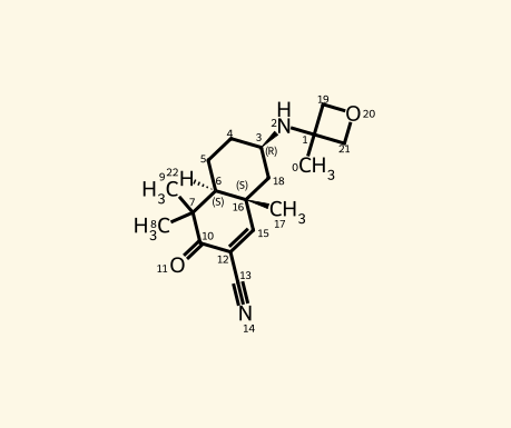 CC1(N[C@@H]2CC[C@@H]3C(C)(C)C(=O)C(C#N)=C[C@@]3(C)C2)COC1